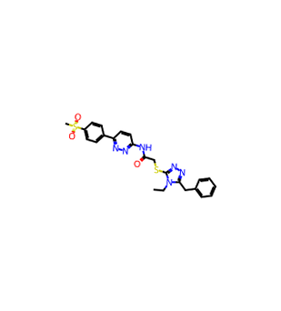 CCn1c(Cc2ccccc2)nnc1SCC(=O)Nc1ccc(-c2ccc(S(C)(=O)=O)cc2)nn1